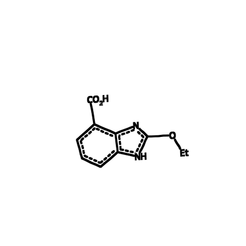 CCOc1nc2c(C(=O)O)cccc2[nH]1